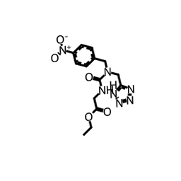 CCOC(=O)CNC(=O)N(Cc1ccc([N+](=O)[O-])cc1)Cc1nnn[nH]1